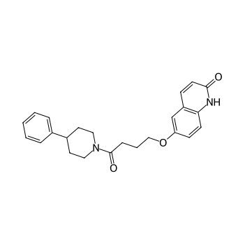 O=C(CCCOc1ccc2[nH]c(=O)ccc2c1)N1CCC(c2ccccc2)CC1